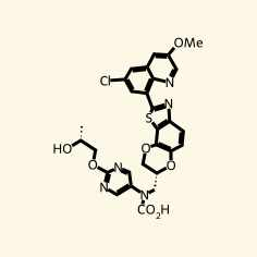 COc1cnc2c(-c3nc4ccc5c(c4s3)OC[C@@H](CN(C(=O)O)c3cnc(OC[C@@H](C)O)nc3)O5)cc(Cl)cc2c1